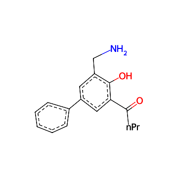 CCCC(=O)c1cc(-c2ccccc2)cc(CN)c1O